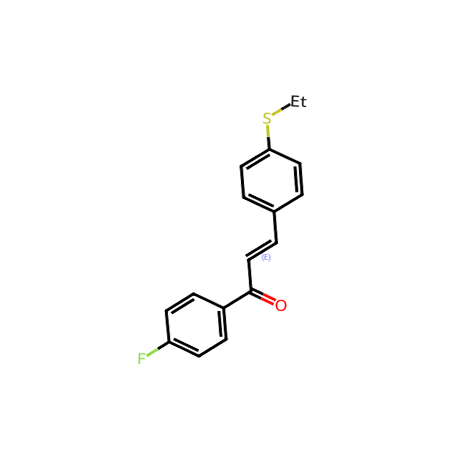 CCSc1ccc(/C=C/C(=O)c2ccc(F)cc2)cc1